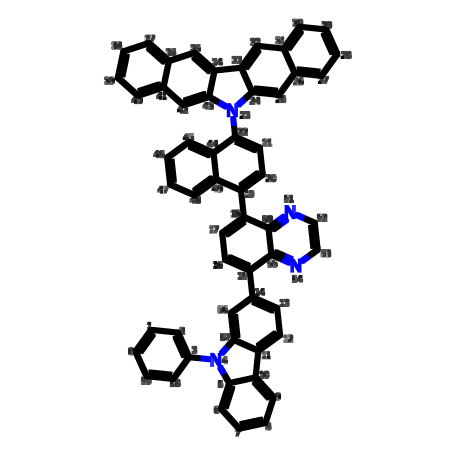 c1ccc(-n2c3ccccc3c3ccc(-c4ccc(-c5ccc(-n6c7cc8ccccc8cc7c7cc8ccccc8cc76)c6ccccc56)c5nccnc45)cc32)cc1